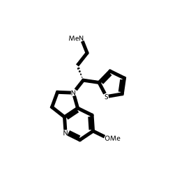 CNCC[C@H](c1cccs1)N1CCc2ncc(OC)cc21